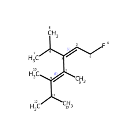 CC(/C(=C\CF)C(C)C)=C(/C)C(C)C